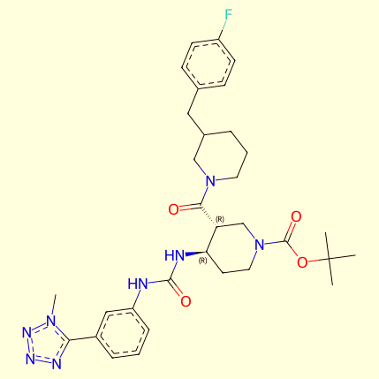 Cn1nnnc1-c1cccc(NC(=O)N[C@@H]2CCN(C(=O)OC(C)(C)C)C[C@H]2C(=O)N2CCCC(Cc3ccc(F)cc3)C2)c1